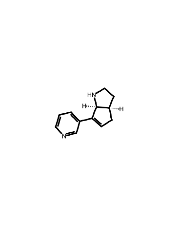 C1=C(c2cccnc2)[C@H]2NCC[C@H]2C1